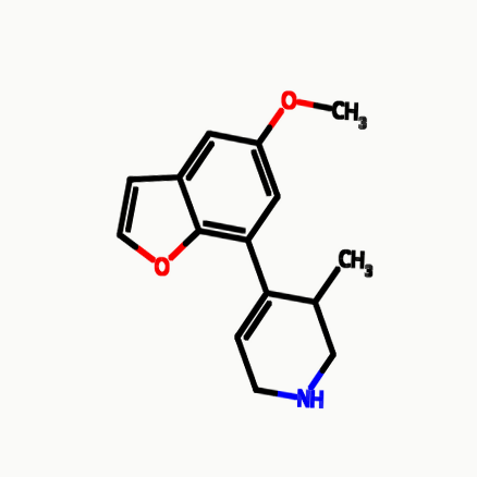 COc1cc(C2=CCNCC2C)c2occc2c1